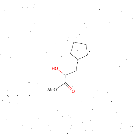 COC(=O)C(O)CC1CCCC1